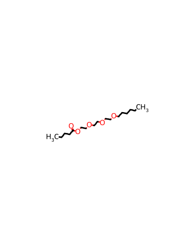 CCCCCCOCCOCCOCCOC(=O)CCCC